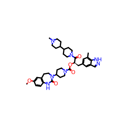 COc1ccc2c(c1)CCN(C1CCN(C(=O)O[C@H](Cc3cc(C)c4[nH]ncc4c3)C(=O)N3CCC(C4CCN(C)CC4)CC3)CC1)C(=O)N2